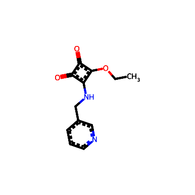 CCOc1c(NCc2cccnc2)c(=O)c1=O